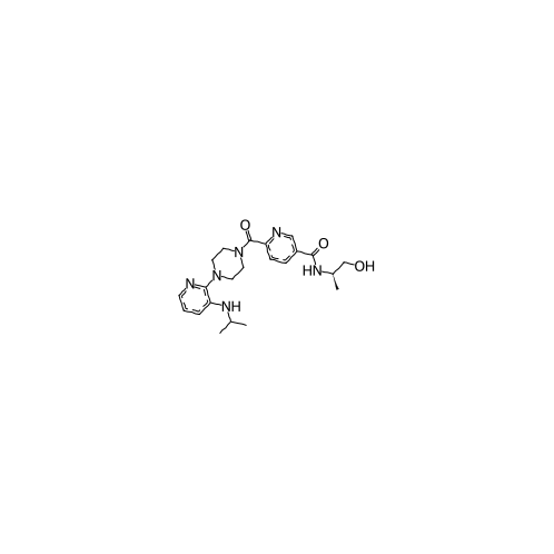 CC(C)Nc1cccnc1N1CCN(C(=O)c2ccc(C(=O)N[C@H](C)CO)cn2)CC1